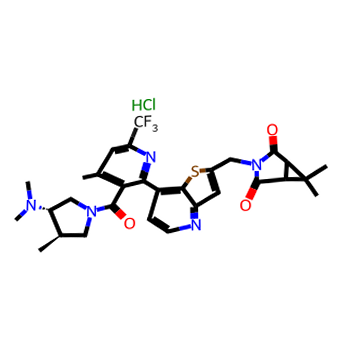 Cc1cc(C(F)(F)F)nc(-c2ccnc3cc(CN4C(=O)C5C(C4=O)C5(C)C)sc23)c1C(=O)N1C[C@@H](C)[C@H](N(C)C)C1.Cl